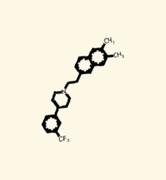 Cc1cc2ccc(CCN3CC=C(c4cccc(C(F)(F)F)c4)CC3)cc2cc1C